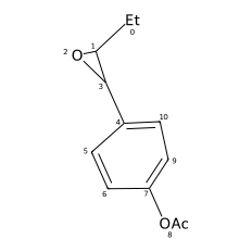 CCC1OC1c1ccc(OC(C)=O)cc1